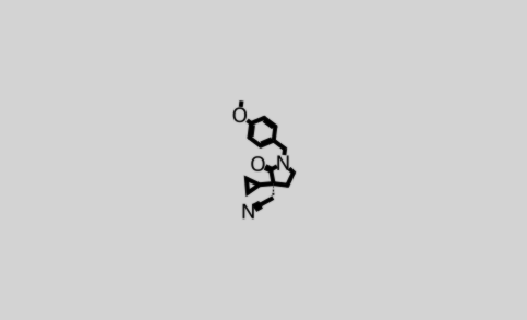 COc1ccc(CN2CC[C@@](CC#N)(C3CC3)C2=O)cc1